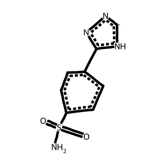 NS(=O)(=O)c1ccc(-c2nn[c][nH]2)cc1